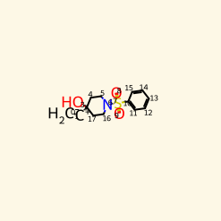 [CH2-][CH+]C1(O)CCN(S(=O)(=O)c2ccccc2)CC1